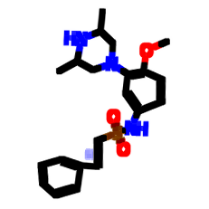 COc1ccc(NS(=O)(=O)/C=C/c2ccccc2)cc1N1CC(C)NC(C)C1